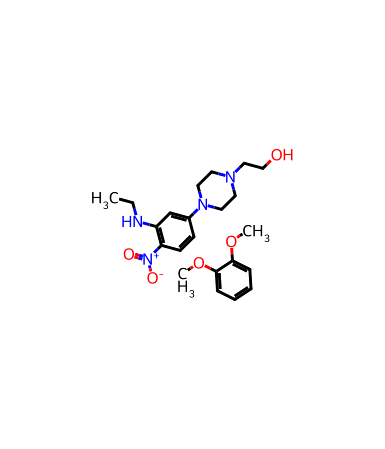 CCNc1cc(N2CCN(CCO)CC2)ccc1[N+](=O)[O-].COc1ccccc1OC